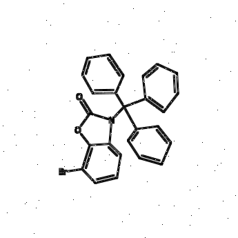 O=c1oc2c(Br)cccc2n1C(c1ccccc1)(c1ccccc1)c1ccccc1